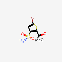 COC(=O)c1sc(Br)cc1S(N)(=O)=O